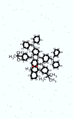 Cc1cc2c3c(c1)N(c1ccc(C(C)(C)C)cc1-c1cccc4ccccc14)c1cc(N(c4ccccc4)c4ccccc4)ccc1B3c1ccc(N(c3ccccc3)c3ccccc3)cc1N2c1ccc(C(C)(C)C)cc1